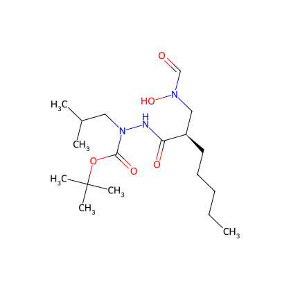 CCCCC[C@H](CN(O)C=O)C(=O)NN(CC(C)C)C(=O)OC(C)(C)C